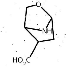 O=C(O)C1CC2NC1CO2